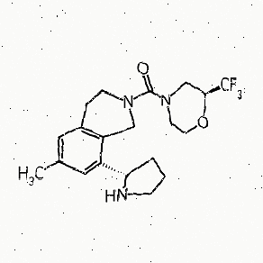 Cc1cc2c(c([C@@H]3CCCN3)c1)CN(C(=O)N1CCO[C@H](C(F)(F)F)C1)CC2